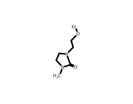 CCOCCN1CCN(C)C1=O